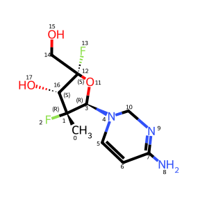 C[C@]1(F)[C@H](N2C=CC(N)=NC2)O[C@](F)(CO)[C@H]1O